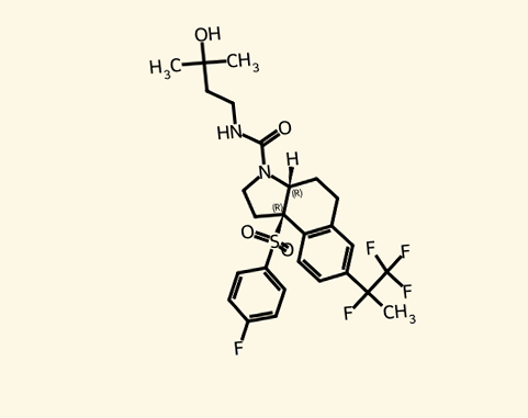 CC(C)(O)CCNC(=O)N1CC[C@@]2(S(=O)(=O)c3ccc(F)cc3)c3ccc(C(C)(F)C(F)(F)F)cc3CC[C@@H]12